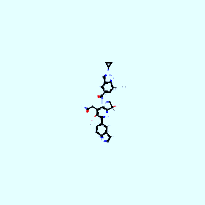 CCOc1c(CC(N)=O)cc([C@@](O)(CNC(=O)c2cc(OC)c3nn(C4CC4)cc3c2)C(F)(F)F)nc1-c1ccc2[nH]ccc2c1